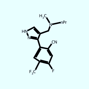 CCCN(C)Cc1c[nH]nc1-c1cc(C(F)(F)F)c(F)cc1C#N